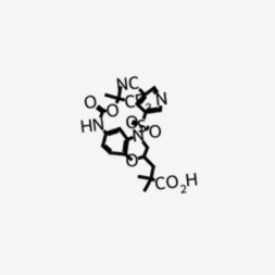 CC(C)(CC1CN(S(=O)(=O)c2cncc(C#N)c2)c2cc(NC(=O)OC(C)(C)C(F)(F)F)ccc2O1)C(=O)O